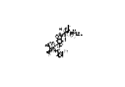 CC(C)n1nccc1C(=O)N[C@H](C(=O)Nc1ccc2c(c1)OC[C@H]2NCC(C)(C)NC(=O)OC(C)(C)C)C(C1CC1)C1CC1